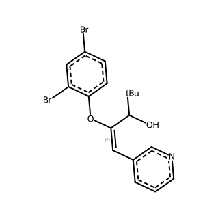 CC(C)(C)C(O)/C(=C\c1cccnc1)Oc1ccc(Br)cc1Br